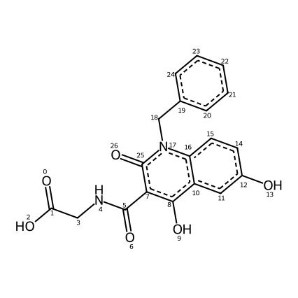 O=C(O)CNC(=O)c1c(O)c2cc(O)ccc2n(Cc2ccccc2)c1=O